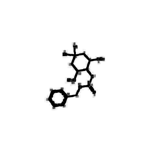 CCC1(CC)CC(OC)C(O[PH](=O)OCc2ccccc2)C(OC)C1